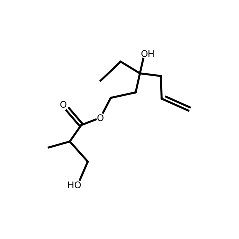 C=CCC(O)(CC)CCOC(=O)C(C)CO